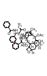 C=C(O[C@H]1C[C@@]2(O)[C@@H](OC(=O)c3ccccc3)[C@@H]3[C@]4(OC(C)=O)CO[C@@H]4C[C@H](O)[C@@]3(C)C(=C)[C@H](OC(C)=O)C(=C1C)C2(C)C)[C@H](O)[C@@H](NC(=O)c1ccccc1)c1ccccc1